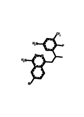 CC(Cc1nnc(N)c2cc(Br)ccc12)c1cc(N)cc(C(F)(F)F)c1F